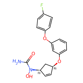 NC(=O)N(O)[C@@H]1C=C[C@H](Oc2cccc(Oc3ccc(F)cc3)c2)C1